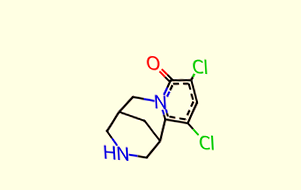 O=c1c(Cl)cc(Cl)c2n1CC1CNCC2C1